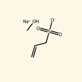 C=CCS(=O)(=O)[O-].CO.[Na+]